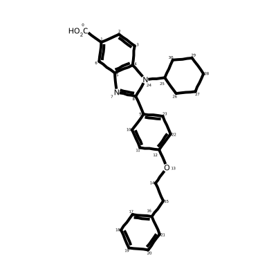 O=C(O)c1ccc2c(c1)nc(-c1ccc(OCCc3ccccc3)cc1)n2C1CCCCC1